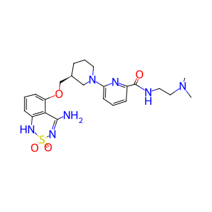 CN(C)CCNC(=O)c1cccc(N2CCC[C@H](COc3cccc4c3C(N)=NS(=O)(=O)N4)C2)n1